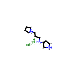 Br.Br.Br.C1CCN(CCCN[C@H]2CCNC2)C1